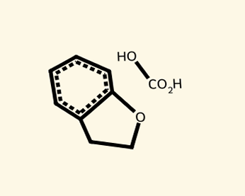 O=C(O)O.c1ccc2c(c1)CCO2